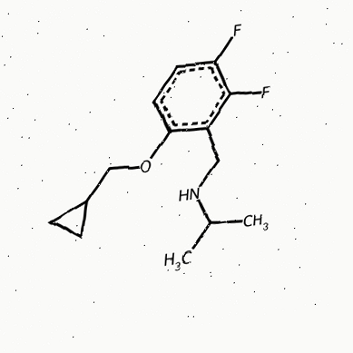 CC(C)NCc1c(OCC2CC2)ccc(F)c1F